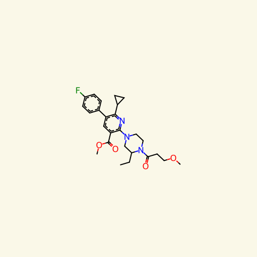 CCC1CN(c2nc(C3CC3)c(-c3ccc(F)cc3)cc2C(=O)OC)CCN1C(=O)CCOC